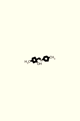 Cc1ccc(N=Cc2ccc(C)cc2O)cc1